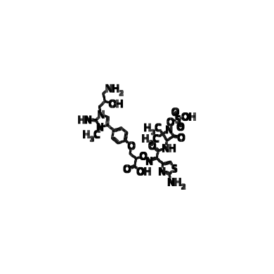 Cn1c(-c2ccc(OCC(O/N=C(\C(=O)N[C@@H]3C(=O)N(OS(=O)(=O)O)C3(C)C)c3csc(N)n3)C(=O)O)cc2)cn(CC(O)CN)c1=N